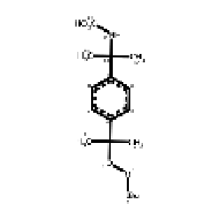 CC(C)(C)OOC(C)(C)c1ccc(C(C)(C)NC(=O)O)cc1